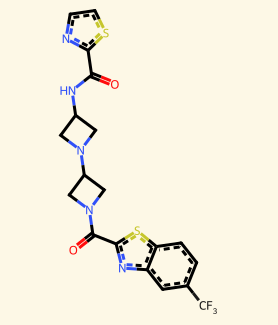 O=C(NC1CN(C2CN(C(=O)c3nc4cc(C(F)(F)F)ccc4s3)C2)C1)c1nccs1